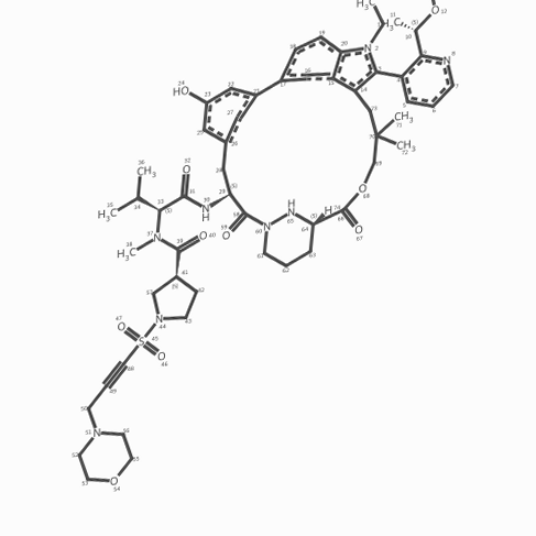 CCn1c(-c2cccnc2[C@H](C)OC)c2c3cc(ccc31)-c1cc(O)cc(c1)C[C@H](NC(=O)[C@H](C(C)C)N(C)C(=O)[C@H]1CCN(S(=O)(=O)C#CCN3CCOCC3)C1)C(=O)N1CCC[C@H](N1)C(=O)OCC(C)(C)C2